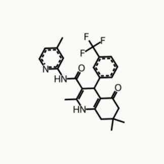 CC1=C(C(=O)Nc2cc(C)ccn2)C(c2cccc(C(F)(F)F)c2)C2=C(CC(C)(C)CC2=O)N1